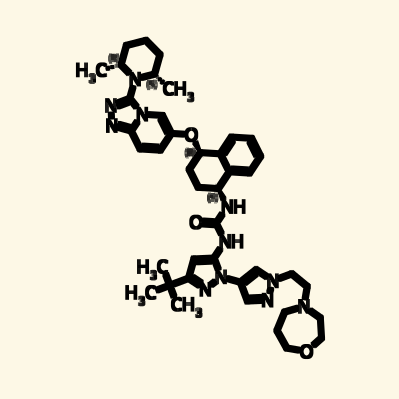 C[C@@H]1CCC[C@H](C)N1c1nnc2ccc(O[C@@H]3CC[C@H](NC(=O)Nc4cc(C(C)(C)C)nn4-c4cnn(CCN5CCCOCC5)c4)c4ccccc43)cn12